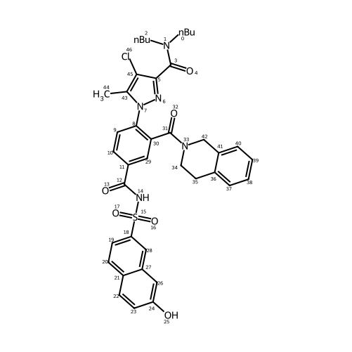 CCCCN(CCCC)C(=O)c1nn(-c2ccc(C(=O)NS(=O)(=O)c3ccc4ccc(O)cc4c3)cc2C(=O)N2CCc3ccccc3C2)c(C)c1Cl